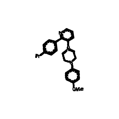 COc1ccc(N2CCN(c3cccnc3-c3ccc(C(C)C)cc3)CC2)cc1